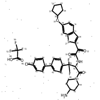 NC1CCN(C(=O)[C@H](NC(=O)C(=O)c2cc3ccc(OC4CCCC4)cc3s2)C(F)(F)c2ccc(-c3ccc(Cl)cc3)cc2)CC1.O=C(O)C(F)(F)F